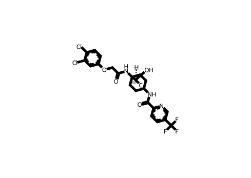 O=C(COc1ccc(Cl)c(Cl)c1)NC12CCC(NC(=O)c3ccc(C(F)(F)F)cn3)(CC1)C[C@@H]2O